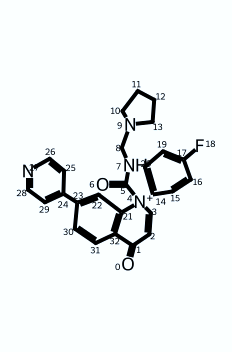 O=C1C=C[N+](C(=O)NCN2CCCC2)(c2ccc(F)cc2)c2cc(-c3ccncc3)ccc21